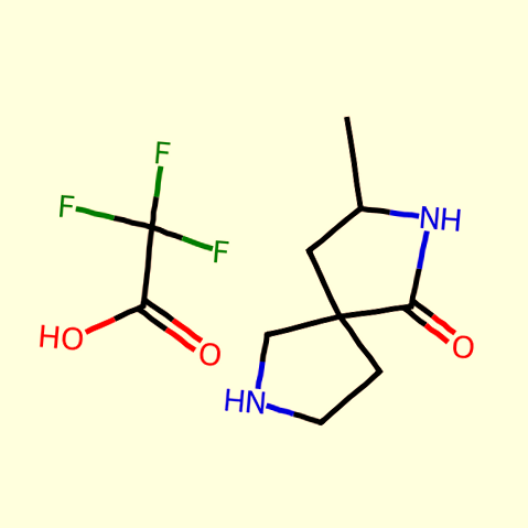 CC1CC2(CCNC2)C(=O)N1.O=C(O)C(F)(F)F